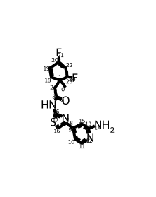 CC1(CC(=O)Nc2nc(-c3ccnc(N)c3)cs2)C=CC(F)=CC1F